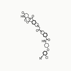 N#Cc1ccc(O[C@H]2CC[C@H](NC(=O)c3ccc4c(c3)CN(C(=O)CN3Cc5cc6c(cc5C3)C(=O)N(C3CCC(=O)NC3=O)C6=O)C4)CC2)cc1Cl